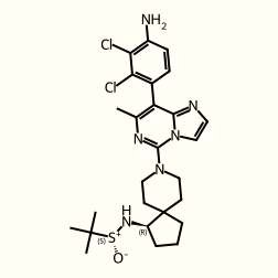 Cc1nc(N2CCC3(CCC[C@H]3N[S@+]([O-])C(C)(C)C)CC2)n2ccnc2c1-c1ccc(N)c(Cl)c1Cl